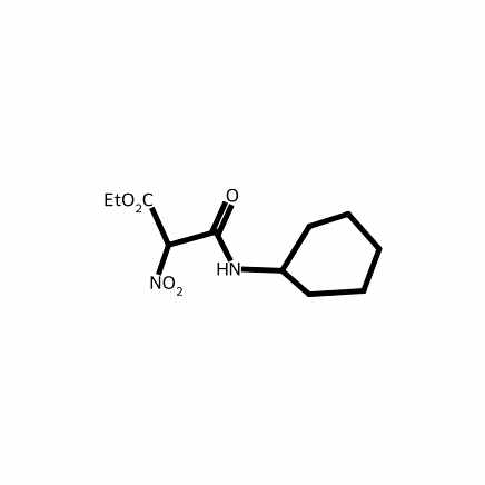 CCOC(=O)C(C(=O)NC1CCCCC1)[N+](=O)[O-]